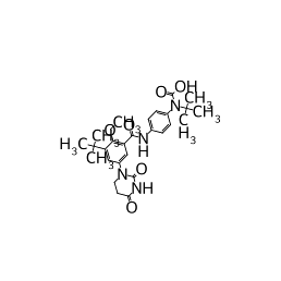 COc1c(C(=O)Nc2ccc(N(C(=O)O)C(C)(C)C)cc2)cc(N2CCC(=O)NC2=O)cc1C(C)(C)C